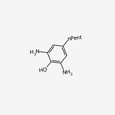 CCCCCc1cc(N)c(O)c(N)c1